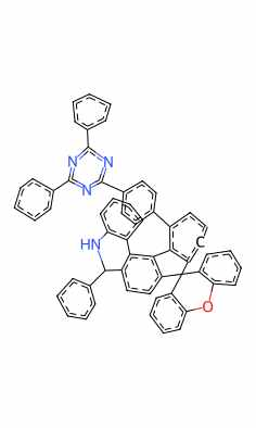 c1ccc(-c2nc(-c3ccccc3)nc(-c3ccc(-c4cccc5c4-c4c(ccc6c4-c4ccccc4NC6c4ccccc4)C54c5ccccc5Oc5ccccc54)cc3)n2)cc1